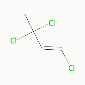 CC(Cl)(Cl)C=CCl